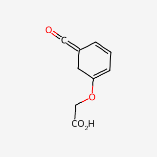 O=C=C1C=CC=C(OCC(=O)O)C1